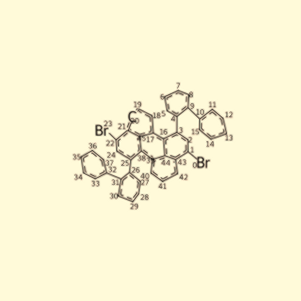 Brc1cc(-c2ccccc2-c2ccccc2)c2c3cccc4c(Br)cc(-c5ccccc5-c5ccccc5)c(c5cccc1c52)c43